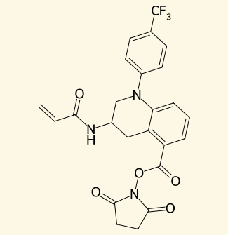 C=CC(=O)NC1Cc2c(C(=O)ON3C(=O)CCC3=O)cccc2N(c2ccc(C(F)(F)F)cc2)C1